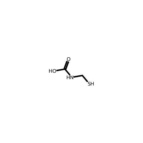 O=C(O)NCS